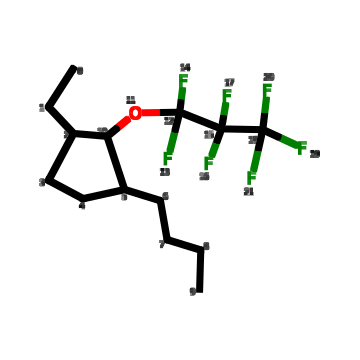 [CH2]CC1C[CH]C(CCCC)C1OC(F)(F)C(F)(F)C(F)(F)F